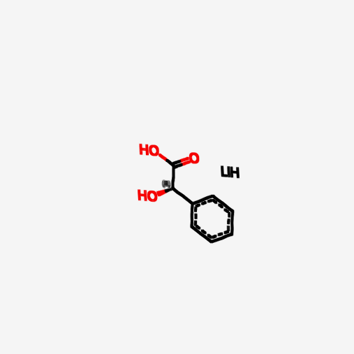 O=C(O)[C@H](O)c1ccccc1.[LiH]